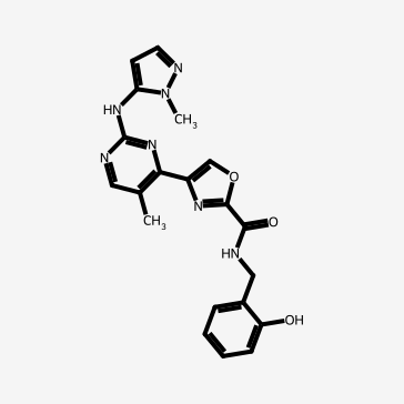 Cc1cnc(Nc2ccnn2C)nc1-c1coc(C(=O)NCc2ccccc2O)n1